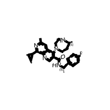 Cc1cc2c(N3CCN[C@@H](C)CC3)c(C(=O)N[C@@H](C)c3ccc(F)cc3)cnc2c(C2CC2)n1